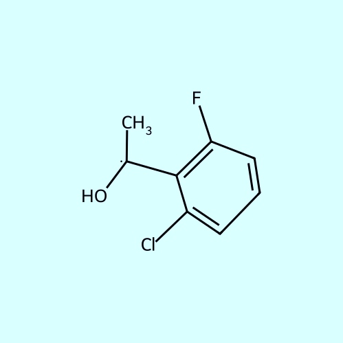 C[C](O)c1c(F)cccc1Cl